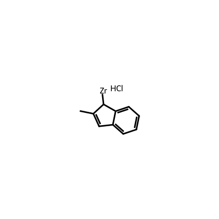 CC1=Cc2ccccc2[CH]1[Zr].Cl